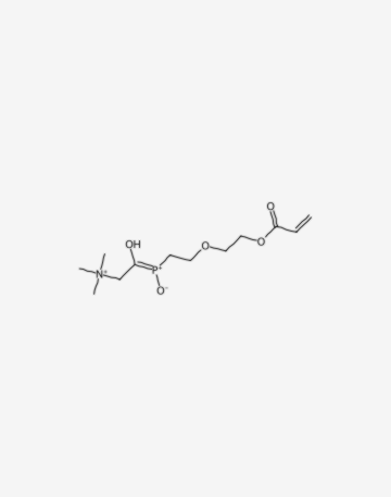 C=CC(=O)OCCOCC[P+]([O-])=C(O)C[N+](C)(C)C